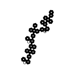 c1ccc(-c2c3ccccc3c(-c3ccc(-c4ccc(-c5ccc(-c6c7ccccc7c(-c7ccc(-c8cccc9oc%10ccccc%10c89)cc7)c7ccccc67)c6ccccc56)c5oc6ccccc6c45)cc3)c3ccc(-c4ccc5c(c4)oc4cccc(-c6cc(-c7c8ccccc8c(-c8ccc9ccccc9c8)c8ccccc78)c7ccccc7c6)c45)cc23)cc1